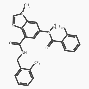 Cn1cnc2c(C(=O)NCc3ccccc3C(F)(F)F)cc(N(N)C(=O)c3ccccc3C(F)(F)F)cc21